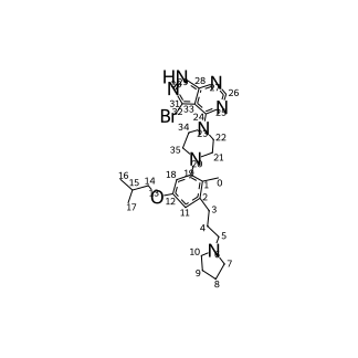 Cc1c(CCCN2CCCC2)cc(OCC(C)C)cc1N1CCN(c2ncnc3[nH]nc(Br)c23)CC1